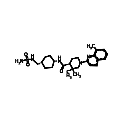 Cc1cccc2ccc(N3CC[C@H](C(=O)N[C@H]4CC[C@@H](CNS(N)(=O)=O)CC4)C(C)(C)C3)nc12